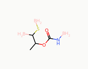 BNC(=O)OC(C)C(B)SB